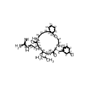 CC(C)[C@H]1NC(=O)[C@@H](Cc2cccc(Cl)c2)NCCOc2ccccc2CCCNC(=O)[C@H](CCNC(=N)N)NC1=O